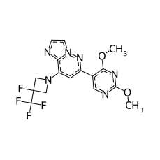 COc1ncc(-c2cc(N3CC(F)(C(F)(F)F)C3)c3nccn3n2)c(OC)n1